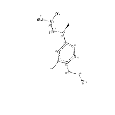 Cc1cc([C@H](C)N[S@@+]([O-])C(C)(C)C)cnc1OCC(F)(F)F